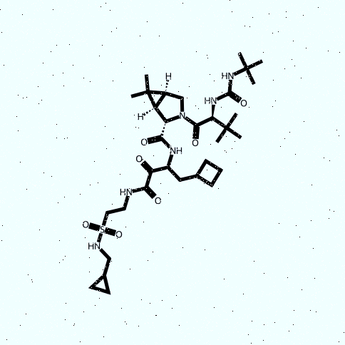 CC(C)(C)NC(=O)N[C@H](C(=O)N1C[C@H]2[C@@H]([C@H]1C(=O)NC(CC1CCC1)C(=O)C(=O)NCCS(=O)(=O)NCC1CC1)C2(C)C)C(C)(C)C